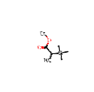 CCOC(=O)C(C#N)[Si](C)(C)C